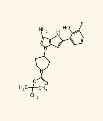 CC(C)(C)OC(=O)N1CCC(n2nc(N)c3[nH]c(-c4cccc(F)c4O)cc32)CC1